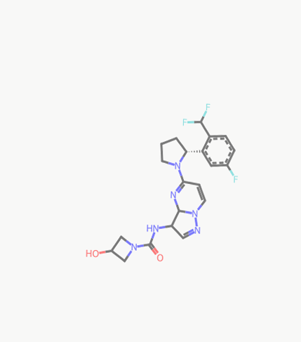 O=C(NC1C=NN2C=CC(N3CCC[C@@H]3c3cc(F)ccc3C(F)F)=NC12)N1CC(O)C1